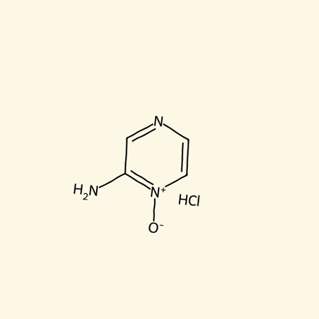 Cl.Nc1cncc[n+]1[O-]